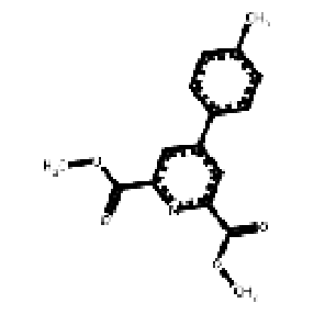 COC(=O)c1cc(-c2ccc(C)cc2)cc(C(=O)OC)n1